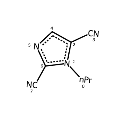 CCCn1c(C#N)cnc1C#N